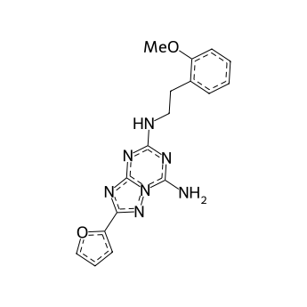 COc1ccccc1CCNc1nc(N)n2nc(-c3ccco3)nc2n1